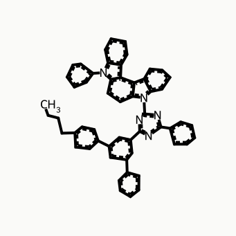 CCCCc1ccc(-c2cc(-c3ccccc3)cc(-c3nc(-c4ccccc4)nc(-n4c5ccccc5c5c6c7ccccc7n(-c7ccccc7)c6ccc54)n3)c2)cc1